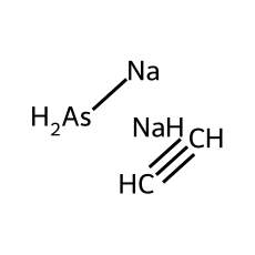 C#C.[NaH].[Na][AsH2]